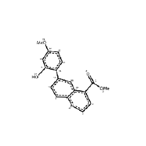 COC(=O)c1ccnc2ccc(-c3ccc(OC)cc3O)cc12